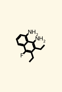 CCc1c(CC)c(N)c2c(N)cccc2c1F